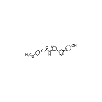 COc1ccc(CCC(=O)Nc2cc(-c3ccnc(N4CCC(O)CC4)c3)ccn2)cc1